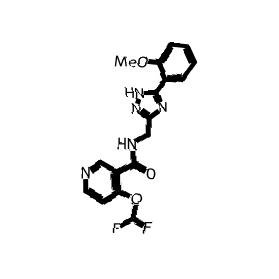 COc1ccccc1-c1nc(CNC(=O)c2cnccc2OC(F)F)n[nH]1